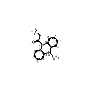 CCC(=O)N1c2ccccc2N(C)c2ccccc21